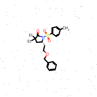 CCC1(CC)C[C@@H](CCOCc2ccccc2)N(S(=O)(=O)c2ccc(C)cc2)C1=O